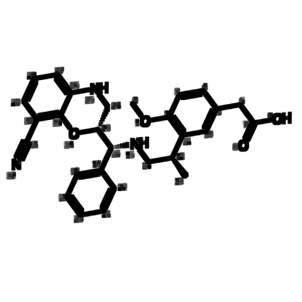 COc1ccc(CC(=O)O)cc1[C@@H](C)CN[C@H](c1ccccc1)[C@H]1CNc2cccc(C#N)c2O1